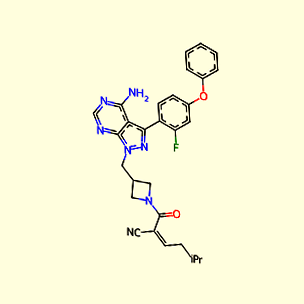 CC(C)C/C=C(/C#N)C(=O)N1CC(Cn2nc(-c3ccc(Oc4ccccc4)cc3F)c3c(N)ncnc32)C1